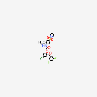 Cc1cc(S(=O)(=O)N2CCCC2)ccc1NC(=O)COc1ccc(Cl)cc1C(=O)c1cc(F)cc(F)c1